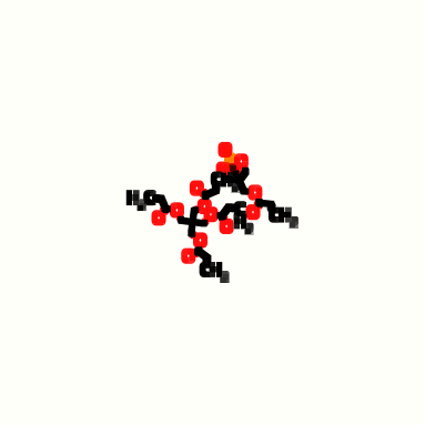 C=CC(=O)OCC(COC(=O)C=C)(COC(=O)C=C)COC(=O)C=C.C=CC(=O)OCC12COP(=O)(OC1)OC2